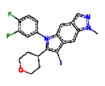 Cn1ncc2cc3c(cc21)c(I)c(C1CCOCC1)n3-c1ccc(F)c(F)c1